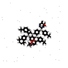 C=C(/C=C\C(=C/C)N(c1ccc(C(C)(C)C)cc1)c1ccc2c(c1)N(c1ccc(C(C)(C)C)cc1-c1ccc(C(C)(C)C)cc1)c1cc(C(C)(C)C)cc3c1B2c1sc2ccc(C(C)(C)C)cc2c1N3c1ccc2c(c1)C(C)(C)CCC2(C)C)C(C)(C)C